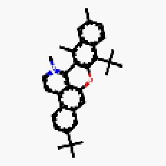 Cc1ccc2c(C(C)(C)C)c3c(c(C)c2c1)-c1c2c(cc4cc(C(C)(C)C)ccc4c2cc[n+]1C)O3